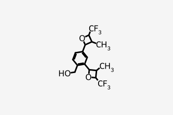 CC1C(c2ccc(CO)c(C3OC(C(F)(F)F)C3C)c2)OC1C(F)(F)F